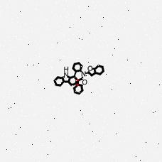 c1ccc(N(c2cc3ccccc3o2)c2cc3ccccc3o2)c(-c2cccc3c2[nH]c2ccccc23)c1